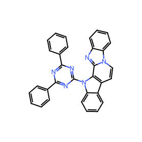 c1ccc(-c2nc(-c3ccccc3)nc(-n3c4ccccc4c4ccn5c6ccccc6nc5c43)n2)cc1